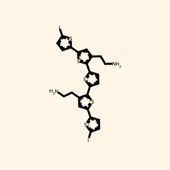 NCCc1cc(-c2ccc(I)s2)sc1-c1ccc(-c2sc(-c3ccc(I)s3)cc2CCN)s1